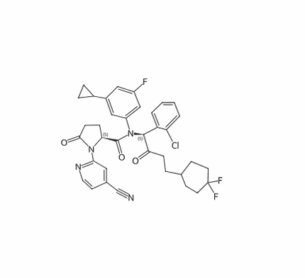 N#Cc1ccnc(N2C(=O)CC[C@H]2C(=O)N(c2cc(F)cc(C3CC3)c2)[C@H](C(=O)CCC2CCC(F)(F)CC2)c2ccccc2Cl)c1